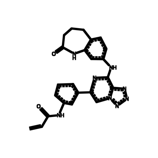 C=CC(=O)Nc1cccc(-c2cn3nnnc3c(Nc3ccc4c(c3)NC(=O)CCC4)n2)c1